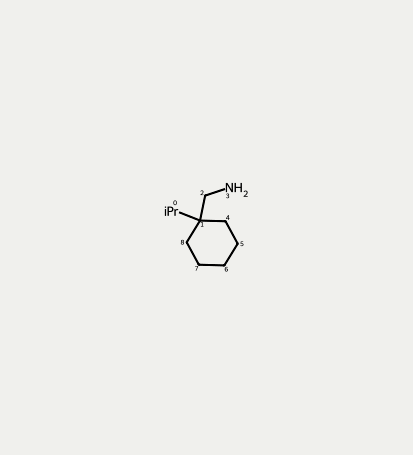 CC(C)C1(CN)CCCCC1